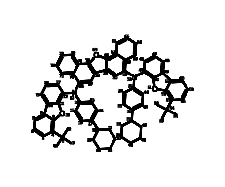 CC(C)(C)c1cccc2c1oc1c(N(c3ccc(C4CCCCC4)cc3)c3cc4c5cc(N(c6ccc(C7CCCCC7)cc6)c6cccc7c6oc6c(C(C)(C)C)cccc67)c6ccccc6c5oc4c4ccccc34)cccc12